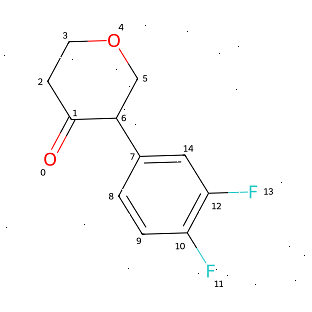 O=C1CCOCC1c1ccc(F)c(F)c1